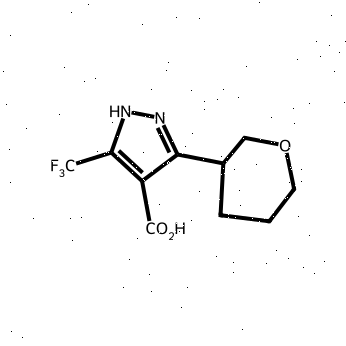 O=C(O)c1c(C2CCCOC2)n[nH]c1C(F)(F)F